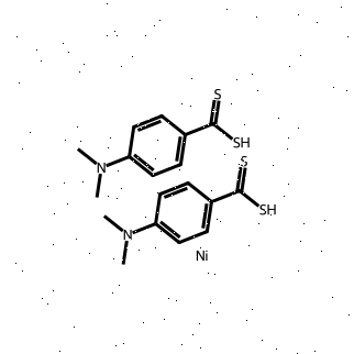 CN(C)c1ccc(C(=S)S)cc1.CN(C)c1ccc(C(=S)S)cc1.[Ni]